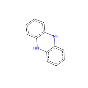 [c]1cccc2c1Nc1ccccc1N2